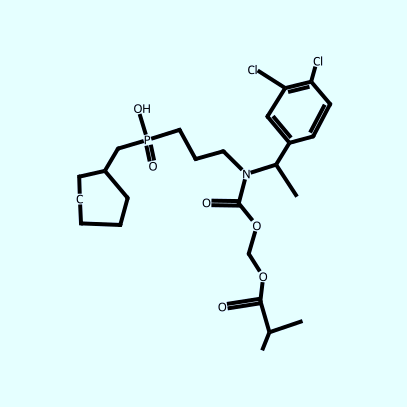 CC(C)C(=O)OCOC(=O)N(CCCP(=O)(O)CC1CCCCC1)C(C)c1ccc(Cl)c(Cl)c1